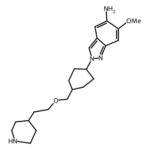 COc1cc2nn(C3CCC(COCCC4CCNCC4)CC3)cc2cc1N